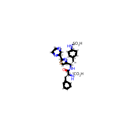 O=C(O)N[C@@H](Cc1ccccc1)C(=O)N[C@@H](Cc1ccc(NS(=O)(=O)O)cc1)c1csc(-c2cnccn2)n1